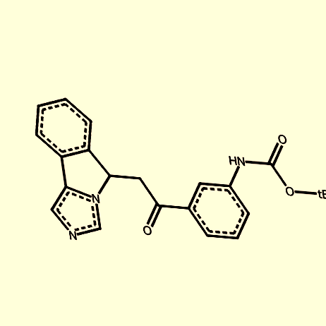 CC(C)(C)OC(=O)Nc1cccc(C(=O)CC2c3ccccc3-c3cncn32)c1